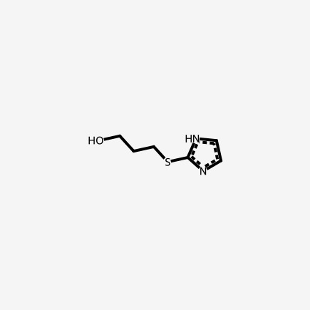 OCCCSc1ncc[nH]1